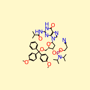 COc1ccc(C(OC[C@H]2O[C@@H](n3cnc4c(=O)[nH]c(NC(=O)C(C)C)nc43)C[C@@H]2OP(OCCC#N)N(C(C)C)C(C)C)(c2ccccc2)c2ccc(OC)cc2)cc1